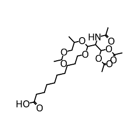 CC(=O)NC(C(OC(C)=O)OC(C)=O)C(OCCCCCCCCCC(=O)O)OC(C)COC(C)=O